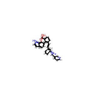 O=C(O)c1cccc(C#Cc2cccc(NCc3cccnc3)c2)c1-c1ccc2cc[nH]c2c1